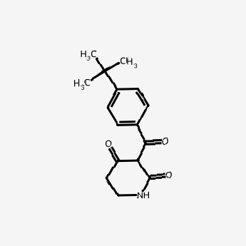 CC(C)(C)c1ccc(C(=O)C2C(=O)CCNC2=O)cc1